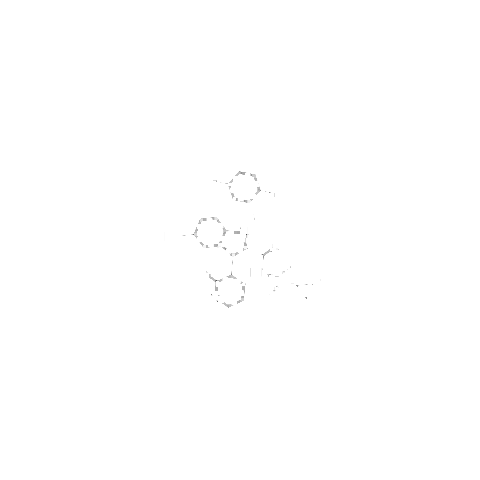 CC(C)(C)c1ccc2c(c1)c(-c1ccc[nH]c1=O)c(C(=O)NS(=O)(=O)C1CC1)n2Cc1cc(F)ccc1F